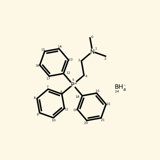 CN(C)CC[P+](c1ccccc1)(c1ccccc1)c1ccccc1.[BH4-]